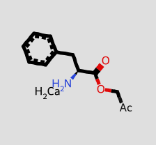 CC(=O)COC(=O)[C@@H](N)Cc1ccccc1.[CaH2]